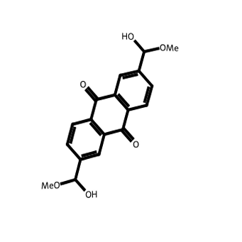 COC(O)c1ccc2c(c1)C(=O)c1ccc(C(O)OC)cc1C2=O